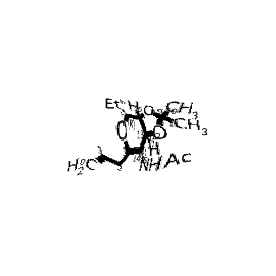 C=CCC1O[C@H](CC)[C@@H]2OC(C)(C)O[C@@H]2[C@@H]1NC(C)=O